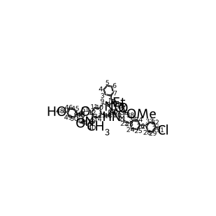 CC[C@@H](c1ccccc1)N1Cc2cc3c(cc2C[C@H]1C(=O)NC(Cc1ccc(-c2ccc(Cl)cc2)cc1)C(=O)OC)N(C)C(=O)[C@@H](c1ccc(O)cc1)O3